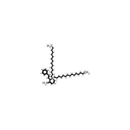 CCCCCCCCCCCCCCC[N+]1(CCCCCCCCCCCCCCC)C=CC=C(N)C1C=Cc1ccccc1